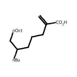 C=C(CCCC(CCCC)CCCCCCCCC)C(=O)O